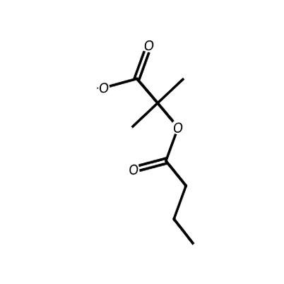 CCCC(=O)OC(C)(C)C([O])=O